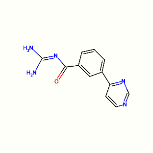 NC(N)=NC(=O)c1cccc(-c2ccncn2)c1